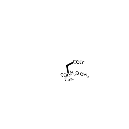 O.O.O=C([O-])CC(=O)[O-].[Ca+2]